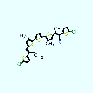 CC/C(=C\c1cc(C)c(-c2ccc(-c3sc(/C(C)=C(\C#N)C4=CCC(Cl)S4)cc3C)s2)s1)c1ccc(Cl)s1